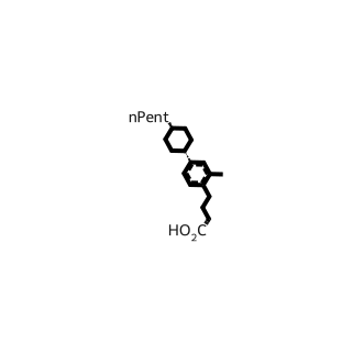 CCCCC[C@H]1CC[C@H](c2ccc(CCCC(=O)O)c(C)c2)CC1